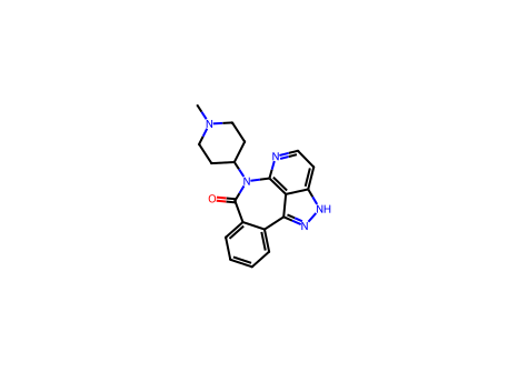 CN1CCC(N2C(=O)c3ccccc3-c3n[nH]c4ccnc2c34)CC1